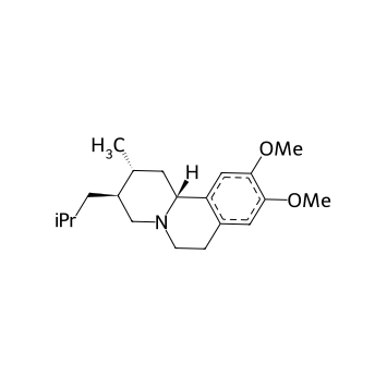 COc1cc2c(cc1OC)[C@H]1C[C@@H](C)[C@H](CC(C)C)CN1CC2